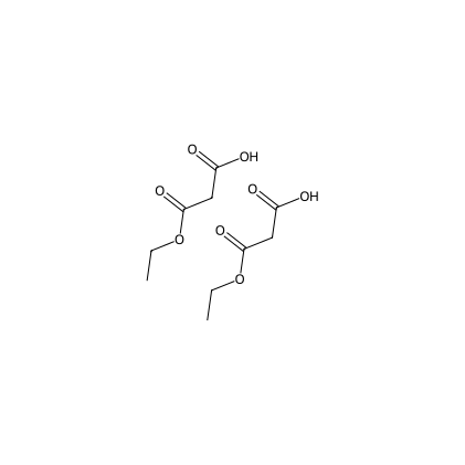 CCOC(=O)CC(=O)O.CCOC(=O)CC(=O)O